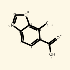 Cc1c(C(=O)O)ccc2ncoc12